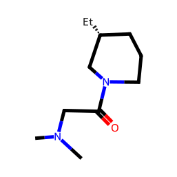 CC[C@@H]1CCCN(C(=O)CN(C)C)C1